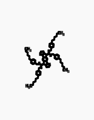 CCCCCCc1ccc(CSC(SCc2ccc(CCCCCC)cc2)=C2c3cc4c(cc3-c3sccc32)C(=C(SCc2ccc(CCCCCC)cc2)SCc2ccc(CCCCCC)cc2)c2ccsc2-4)cc1